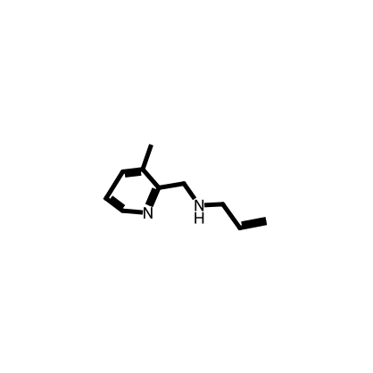 C=CCNCc1ncccc1C